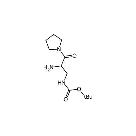 CC(C)(C)OC(=O)NCC(N)C(=O)N1CCCC1